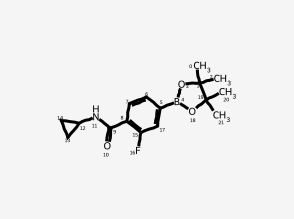 CC1(C)OB(c2ccc(C(=O)NC3CC3)c(F)c2)OC1(C)C